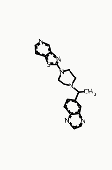 CC(c1ccc2nccnc2c1)N1CCN(c2nc3cnccc3s2)CC1